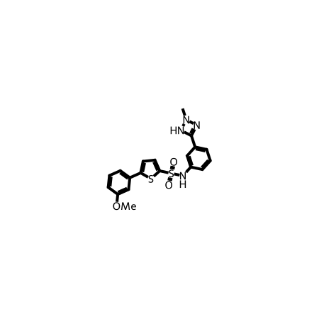 COc1cccc(-c2ccc(S(=O)(=O)Nc3cccc(-c4nn(C)[nH]4)c3)s2)c1